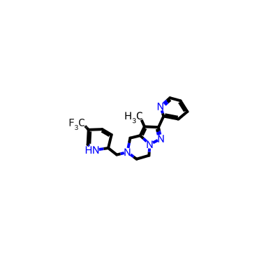 Cc1c(-c2ccccn2)nn2c1CN(CC1C=CC(C(F)(F)F)=CN1)CC2